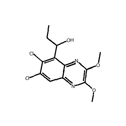 CCC(O)c1c(Cl)c(Cl)cc2nc(OC)c(OC)nc12